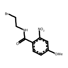 COc1ccc(C(=O)NCCBr)c([N+](=O)[O-])c1